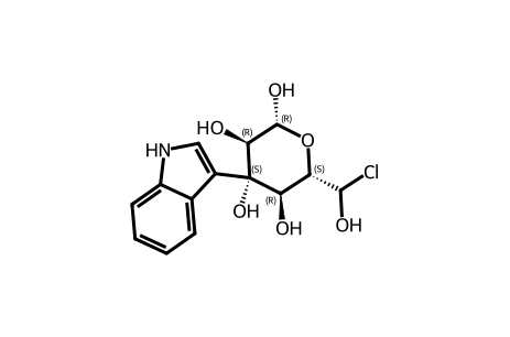 OC(Cl)[C@H]1O[C@@H](O)[C@H](O)[C@](O)(c2c[nH]c3ccccc23)[C@@H]1O